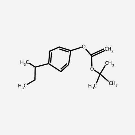 C=C(Oc1ccc(C(C)CC)cc1)OC(C)(C)C